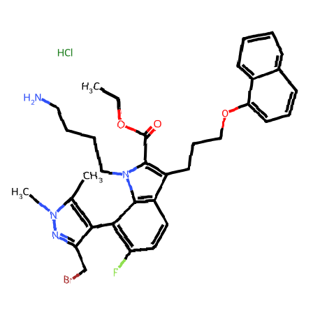 CCOC(=O)c1c(CCCOc2cccc3ccccc23)c2ccc(F)c(-c3c(CBr)nn(C)c3C)c2n1CCCCN.Cl